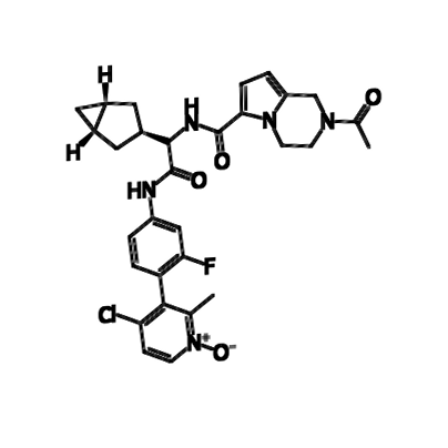 CC(=O)N1CCn2c(ccc2C(=O)NC(C(=O)Nc2ccc(-c3c(Cl)cc[n+]([O-])c3C)c(F)c2)[C@H]2C[C@@H]3C[C@@H]3C2)C1